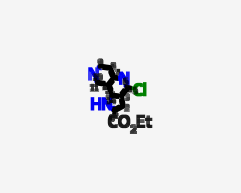 CCOC(=O)c1cc2c(Cl)nc3ccncc3c2[nH]1